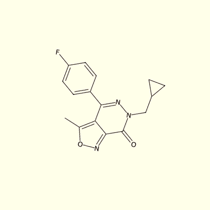 Cc1onc2c(=O)n(CC3CC3)nc(-c3ccc(F)cc3)c12